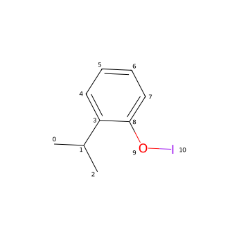 CC(C)c1ccccc1OI